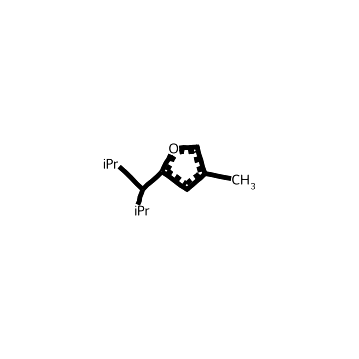 Cc1coc(C(C(C)C)C(C)C)c1